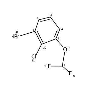 C[C](C)c1cccc(OC(F)F)c1Cl